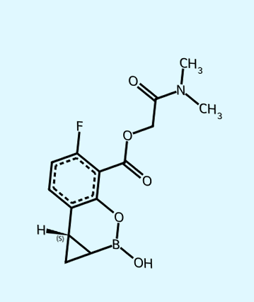 CN(C)C(=O)COC(=O)c1c(F)ccc2c1OB(O)C1C[C@H]21